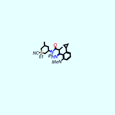 CCS1(C#N)CC(C)CC(N(C(=O)C(C)C(=N)c2c(NC)cccc2C2CC2)C(C)C)C1